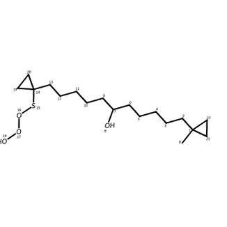 CC1(CCCCCC(O)CCCCCC2(SOOO)CC2)CC1